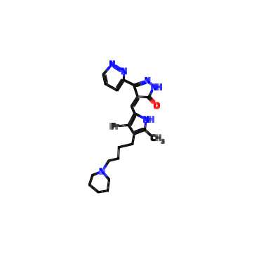 Cc1[nH]c(C=C2C(=O)NN=C2c2cccnn2)c(C(C)C)c1CCCCN1CCCCC1